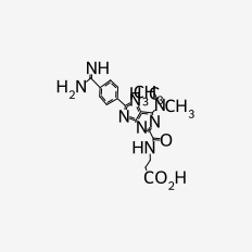 CN(C)c1nc(C(=O)NCCC(=O)O)nc2nc(-c3ccc(C(=N)N)cc3)n(C)c12